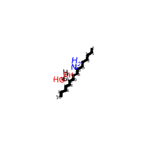 CCCCCCC(N)CCCC(CCCCC)[SiH](O)O